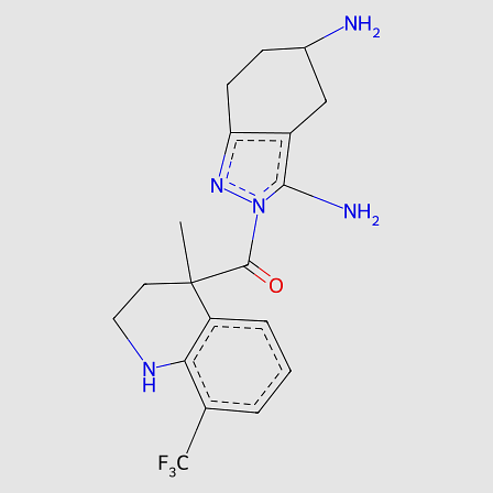 CC1(C(=O)n2nc3c(c2N)CC(N)CC3)CCNc2c(C(F)(F)F)cccc21